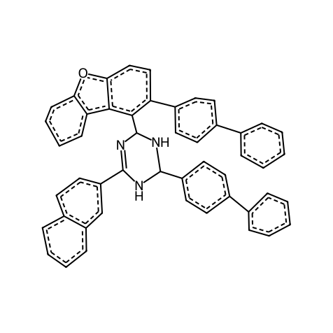 c1ccc(-c2ccc(-c3ccc4oc5ccccc5c4c3C3N=C(c4ccc5ccccc5c4)NC(c4ccc(-c5ccccc5)cc4)N3)cc2)cc1